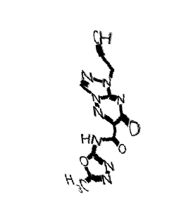 C#CCn1ncn2nc(C(=O)Nc3nnc(C)o3)c(=O)nc12